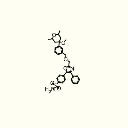 COC1(c2cccc(COCc3nc(-c4ccccc4)c(-c4ccc(S(N)(=O)=O)cc4)o3)c2)CC(C)OC(C)C1